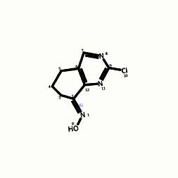 O/N=C1\CCCc2cnc(Cl)nc21